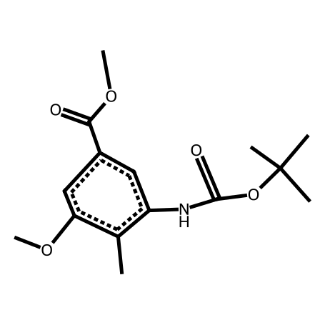 COC(=O)c1cc(NC(=O)OC(C)(C)C)c(C)c(OC)c1